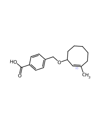 C/C1=C/C(OCc2ccc(C(=O)O)cc2)CCCCC1